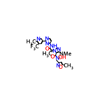 CNc1ncn([C@@H](C)C(=O)Nc2ccnc(-c3cnc(C)c(C(F)(F)F)c3)n2)c1C(=O)N(O)Cc1cc(C)on1